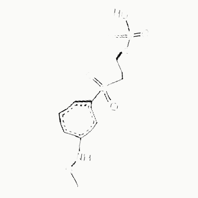 CONc1cccc(S(=O)(=O)CCOS(=O)(=O)O)c1